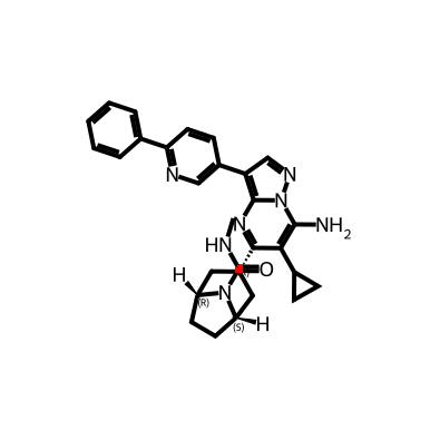 CNC(=O)N1[C@@H]2CC[C@H]1C[C@@H](c1nc3c(-c4ccc(-c5ccccc5)nc4)cnn3c(N)c1C1CC1)C2